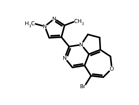 Cc1nn(C)cc1C1=NC=C2C(Br)=COCC3=C2N1CC3